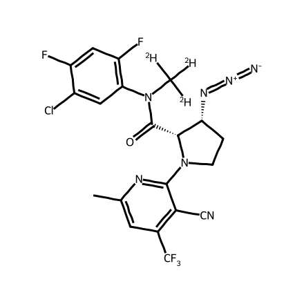 [2H]C([2H])([2H])N(C(=O)[C@@H]1[C@H](N=[N+]=[N-])CCN1c1nc(C)cc(C(F)(F)F)c1C#N)c1cc(Cl)c(F)cc1F